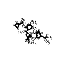 Cc1ccc(C(C)CCC(C)(F)C(=O)Oc2cc(C(C)C)ccc2C)c(OC(=O)C2CCC2)c1